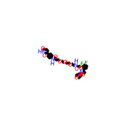 O=C(C=COCCOCCOCCNC(=O)COc1c(-c2csc(N3C4CCC3COC4)n2)ccc(F)c1F)Nc1ccc(C2CCC(=O)NC2=O)cc1